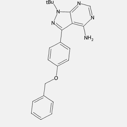 CC(C)(C)n1nc(-c2ccc(OCc3ccccc3)cc2)c2c(N)ncnc21